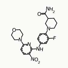 NC(=O)C1CCCN(c2ccc(Nc3nc(N4CCOCC4)ccc3[N+](=O)[O-])cc2F)C1